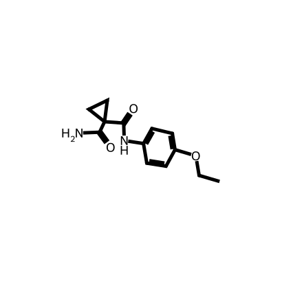 CCOc1ccc(NC(=O)C2(C(N)=O)CC2)cc1